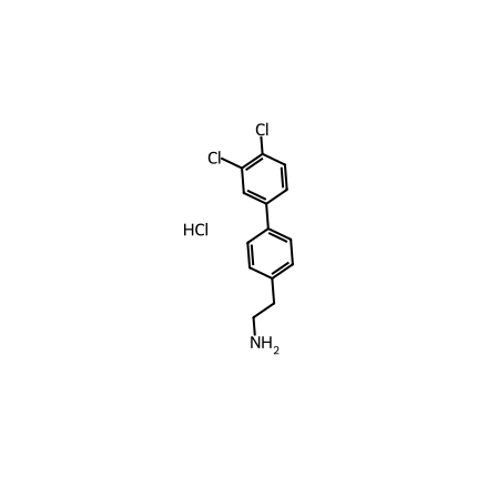 Cl.NCCc1ccc(-c2ccc(Cl)c(Cl)c2)cc1